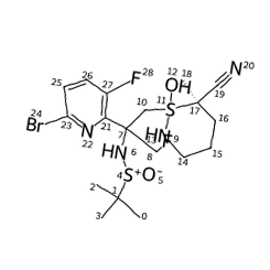 CC(C)(C)[S+]([O-])NC(CF)(CS1(O)NCCC[C@]1(C)C#N)c1nc(Br)ccc1F